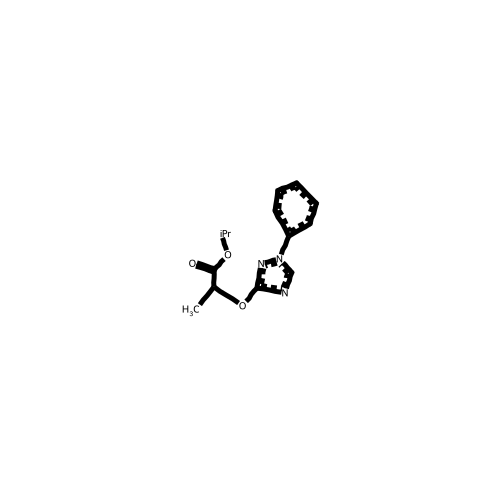 CC(C)OC(=O)C(C)Oc1ncn(-c2ccccc2)n1